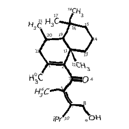 CC1=C(C(=O)/C(C)=C(\CO)C(C)C)[C@@]2(C)CCCC(C)(C)C2C(C)C1